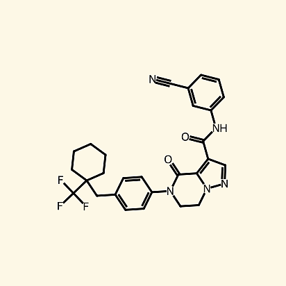 N#Cc1cccc(NC(=O)c2cnn3c2C(=O)N(c2ccc(CC4(C(F)(F)F)CCCCC4)cc2)CC3)c1